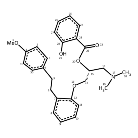 COc1ccc(CCc2ccccc2OC[C@@H](CN(C)C)OC(=O)c2ccccc2O)cc1